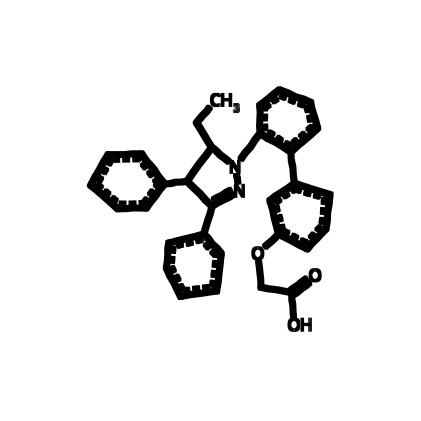 CCC1C(c2ccccc2)C(c2ccccc2)=NN1c1ccccc1-c1cccc(OCC(=O)O)c1